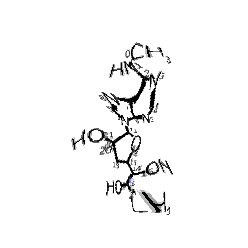 CNc1ncnc2c1ncn2C1OC(/C(O)=C(/C)O)C[C@H]1O